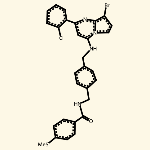 CSc1ccc(C(=O)NCc2ccc(CNc3cc(-c4ccccc4Cl)nc4c(Br)ccn34)cc2)cc1